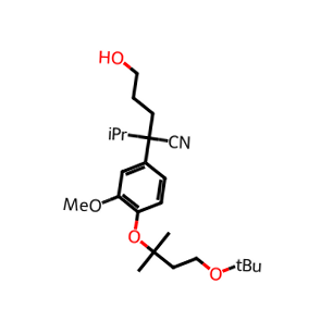 COc1cc(C(C#N)(CCCO)C(C)C)ccc1OC(C)(C)CCOC(C)(C)C